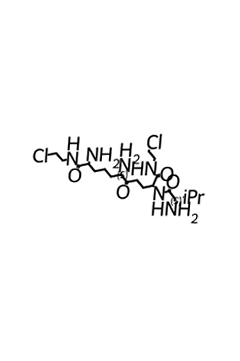 CC(C)[C@H](N)C(=O)NC(CCC(=O)[C@@H](N)CCCC(N)C(=O)NCCCl)C(=O)NCCCl